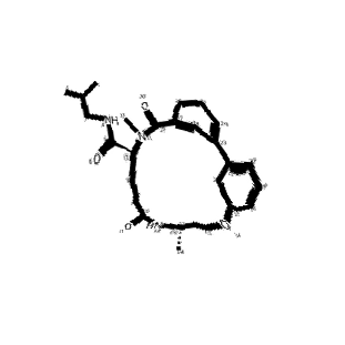 CC(C)CNC(=O)[C@@H]1CCC(=O)N[C@@H](C)COc2cccc(c2)-c2cccc(c2)C(=O)N1C